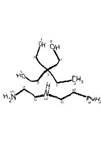 CCC(CO)(CO)CO.NCCNCCN